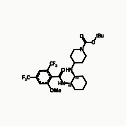 COc1cc(C(F)(F)F)cc(C(F)(F)F)c1C(=O)N[C@@H]1CCCC[C@@H]1NC1CCN(C(=O)OC(C)(C)C)CC1